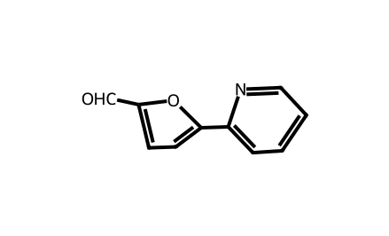 O=Cc1ccc(-c2ccccn2)o1